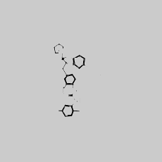 Cc1ccc(F)cc1NC(=O)Nc1ccc(CC(=O)C(F)(Oc2ccc(C(=O)O)cc2)N2CCCC2)cc1Cl